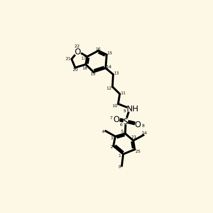 Cc1cc(C)c(S(=O)(=O)NCCCCc2ccc3c(c2)CCO3)c(C)c1